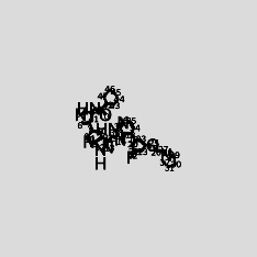 O=C(Nc1cncc(-c2cnc3[nH]nc(-c4nc5c(-c6cc(F)cc(OCCN7CCCC7)c6)ccnc5[nH]4)c3c2)c1)C1CCCCC1